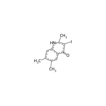 Cc1cc2[nH]c(C)c(I)c(=O)c2cc1C